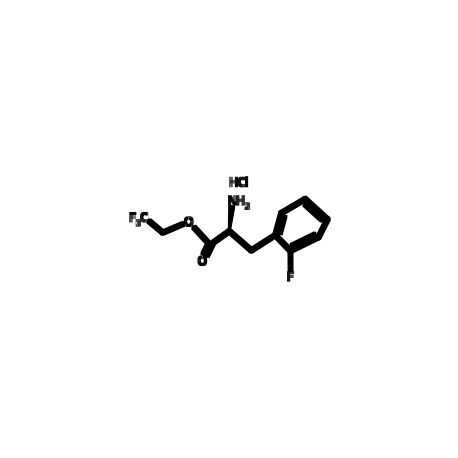 Cl.N[C@@H](Cc1ccccc1F)C(=O)OCC(F)(F)F